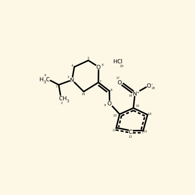 CC(C)N1CCOC(=COc2ccccc2[N+](=O)[O-])C1.Cl